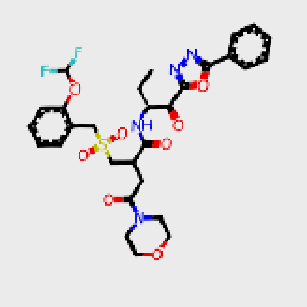 CC[C@H](NC(=O)C(CC(=O)N1CCOCC1)CS(=O)(=O)Cc1ccccc1OC(F)F)C(=O)c1nnc(-c2ccccc2)o1